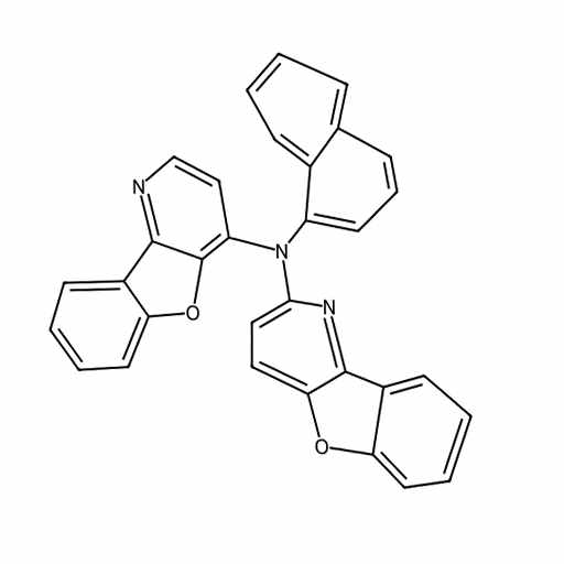 c1ccc2c(N(c3ccc4oc5ccccc5c4n3)c3ccnc4c3oc3ccccc34)cccc2c1